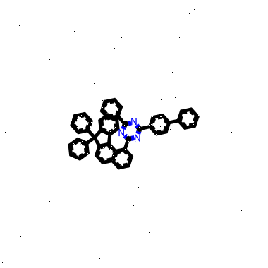 c1ccc(-c2ccc(-c3nc(-c4ccccc4)nc(-c4cccc5ccc6c(c45)-c4ccccc4C6(c4ccccc4)c4ccccc4)n3)cc2)cc1